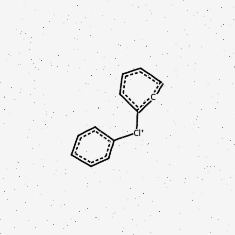 c1ccc([Cl+]c2ccccc2)cc1